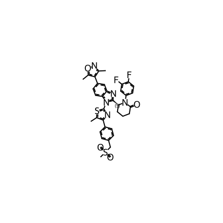 Cc1noc(C)c1-c1ccc2c(c1)nc([C@@H]1CCCC(=O)N1c1ccc(F)c(F)c1)n2-c1nc(-c2ccc(CS(C)(=O)=O)cc2)c(C)s1